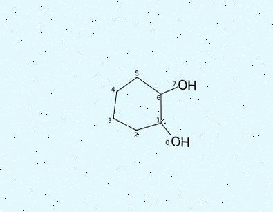 O[C]1CCCCC1O